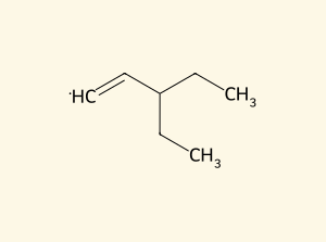 [CH]=CC(CC)CC